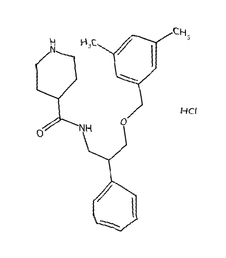 Cc1cc(C)cc(COCC(CNC(=O)C2CCNCC2)c2ccccc2)c1.Cl